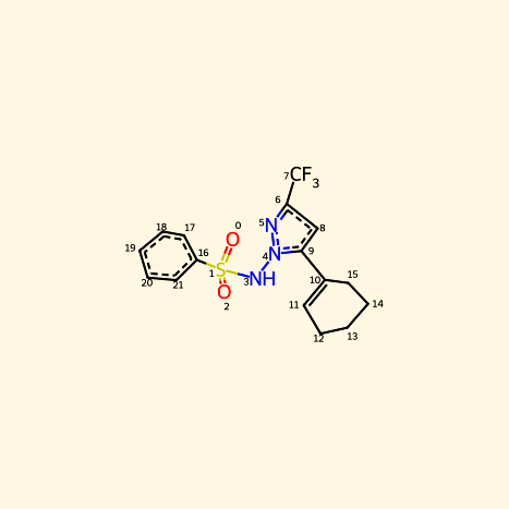 O=S(=O)(Nn1nc(C(F)(F)F)cc1C1=CCCCC1)c1ccccc1